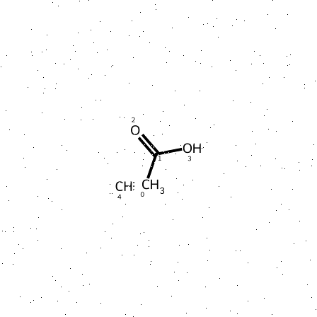 CC(=O)O.[CH]